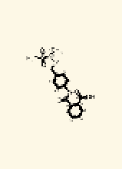 CN(OCc1ccc(OC(=O)c2ccccc2C(=O)O)cc1)S(C)(=O)=O